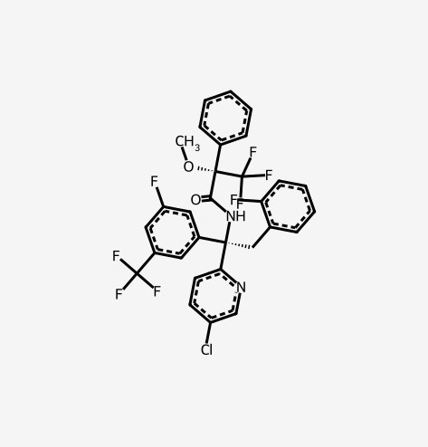 CO[C@](C(=O)N[C@](Cc1ccccc1F)(c1cc(F)cc(C(F)(F)F)c1)c1ccc(Cl)cn1)(c1ccccc1)C(F)(F)F